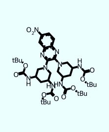 CC(C)(C)OC(=O)NC1CC(NC(=O)OC(C)(C)C)CN(c2nc3ccc([N+](=O)[O-])cc3nc2N2CC(NC(=O)OC(C)(C)C)CC(NC(=O)OC(C)(C)C)C2)C1